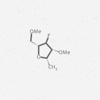 COC[C@H]1O[C@@H](C)[C@@H](OC)C1F